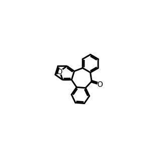 O=c1c2ccccc2c2c3ccc(o3)c2c2ccccc12